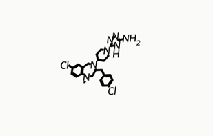 CN1CC(Cc2ccc(Cl)cc2)N(C2CCN(c3nnc(N)[nH]3)CC2)Cc2cc(Cl)ccc21